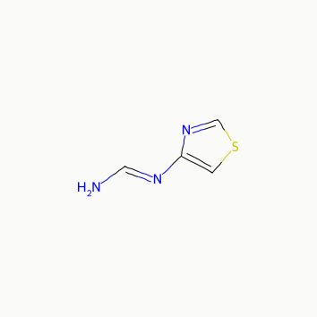 NC=Nc1cscn1